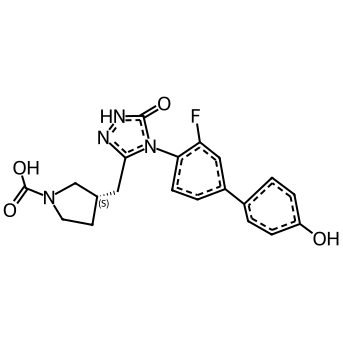 O=C(O)N1CC[C@@H](Cc2n[nH]c(=O)n2-c2ccc(-c3ccc(O)cc3)cc2F)C1